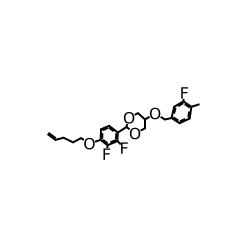 C=CCCCOc1ccc(C2OCC(OCc3ccc(C)c(F)c3)CO2)c(F)c1F